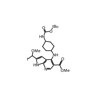 COC(=O)c1cnc2[nH]c(C(I)OC)cc2c1NC1CCC(NC(=O)OC(C)(C)C)CC1